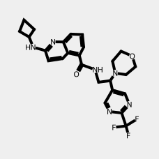 O=C(NCC(c1cnc(C(F)(F)F)nc1)N1CCOCC1)c1cccc2nc(NC3CCC3)ccc12